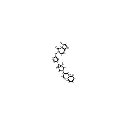 Cn1cnc2ncn(Cc3nc([C@@H]4[C@@H]5CN(c6cnc7ccccc7c6)C[C@@H]54)no3)c(=O)c21